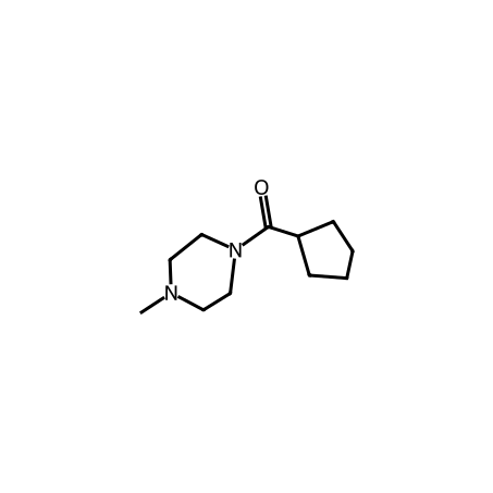 CN1CCN(C(=O)C2CCCC2)CC1